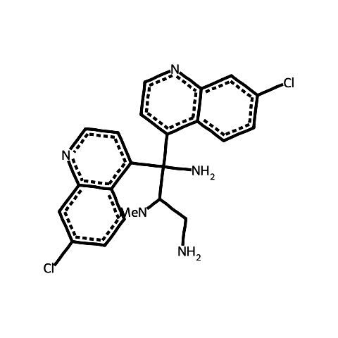 CNC(CN)C(N)(c1ccnc2cc(Cl)ccc12)c1ccnc2cc(Cl)ccc12